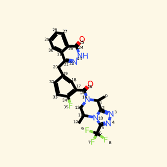 CC1c2nnc(C(F)(F)F)n2C(C)CN1C(=O)c1cc(Cc2n[nH]c(=O)c3ccccc23)ccc1F